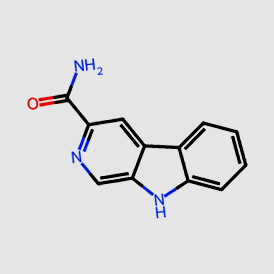 NC(=O)c1cc2c(cn1)[nH]c1ccccc12